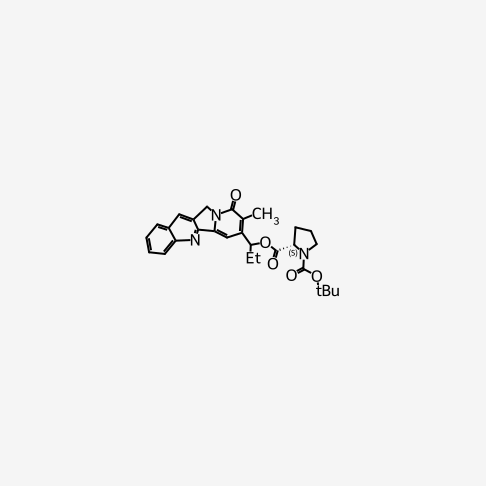 CCC(OC(=O)[C@@H]1CCCN1C(=O)OC(C)(C)C)c1cc2n(c(=O)c1C)Cc1cc3ccccc3nc1-2